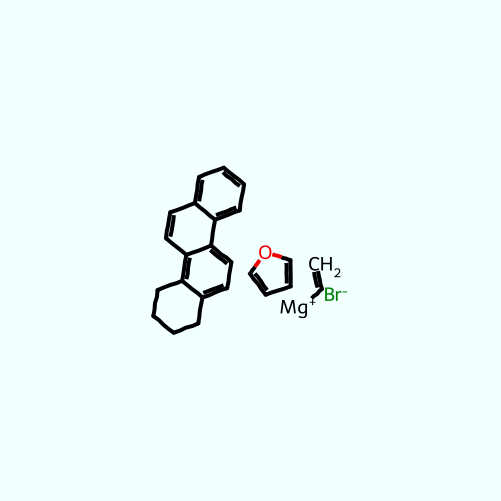 C=[CH][Mg+].[Br-].c1ccc2c(c1)ccc1c3c(ccc12)CCCC3.c1ccoc1